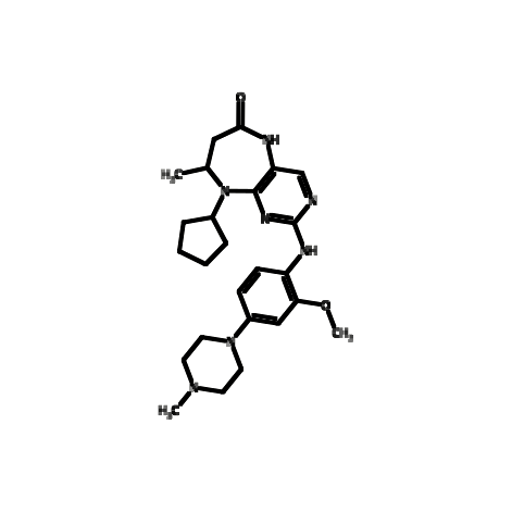 COc1cc(N2CCN(C)CC2)ccc1Nc1ncc2c(n1)N(C1CCCC1)C(C)CC(=O)N2